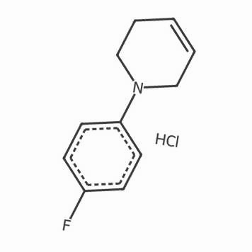 Cl.Fc1ccc(N2CC=CCC2)cc1